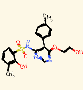 Cc1ccc(-c2c(NS(=O)(=O)c3cccc(C)c3O)ncnc2OCCO)cc1